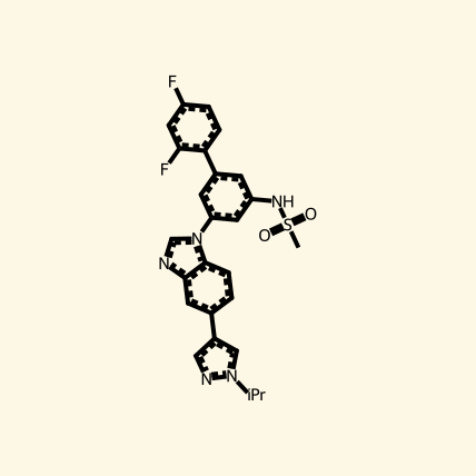 CC(C)n1cc(-c2ccc3c(c2)ncn3-c2cc(NS(C)(=O)=O)cc(-c3ccc(F)cc3F)c2)cn1